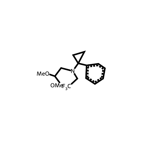 COC(CN(CC(F)(F)F)C1(c2ccccc2)CC1)OC